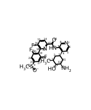 C[C@H]1C[C@@H](c2ccncc2NC(=O)c2ccc(F)c(-c3c(F)cc([S@+](C)[O-])cc3F)n2)C[C@@H](N)[C@@H]1O